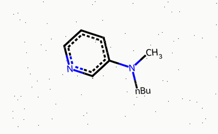 CCCCN(C)c1[c]nccc1